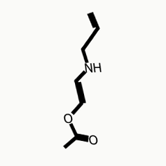 C=CCNC=COC(C)=O